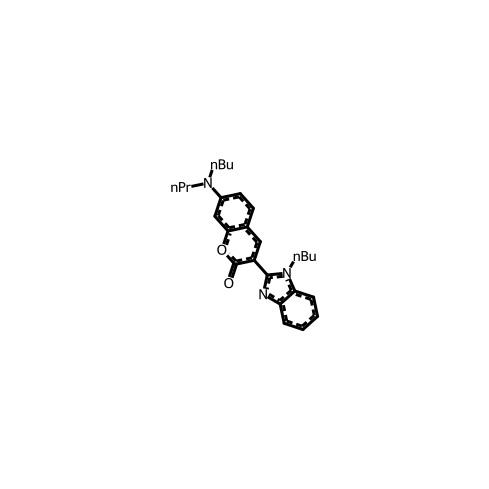 CCCCN(CCC)c1ccc2cc(-c3nc4ccccc4n3CCCC)c(=O)oc2c1